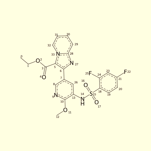 CCOC(=O)c1c(-c2cnc(OC)c(NS(=O)(=O)c3ccc(F)cc3F)c2)nc2ccccn12